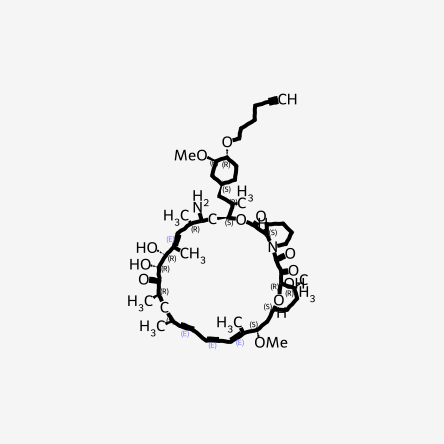 C#CCCCCO[C@@H]1CC[C@@H](C[C@@H](C)[C@@H]2CC(N)[C@H](C)/C=C(\C)[C@@H](O)[C@@H](O)C(=O)[C@H](C)C[C@H](C)/C=C/C=C/C=C(\C)[C@@H](OC)C[C@@H]3CC[C@@H](C)[C@@](O)(O3)C(=O)C(=O)N3CCCC[C@H]3C(=O)O2)C[C@H]1OC